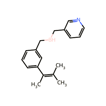 CC(C)=C(C)c1cccc(CBCc2cccnc2)c1